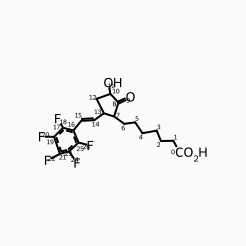 O=C(O)CCCCCCC1C(=O)C(O)CC1C=Cc1c(F)c(F)c(F)c(F)c1F